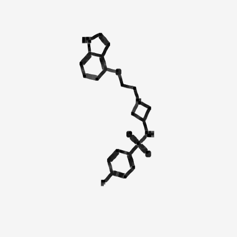 O=S(=O)(NC1CN(CCOc2cccc3[nH]ccc23)C1)c1ccc(F)cc1